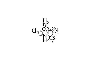 Cc1noc2c1-c1sc(C)c(C)c1C(Nc1ccc(Cl)cc1)=N[C@H]2CC(N)=O